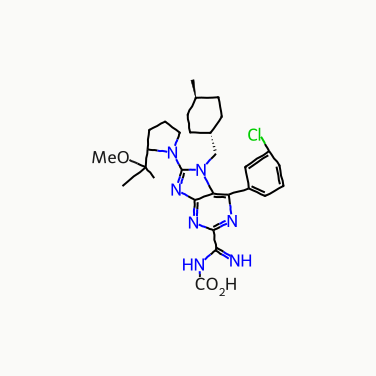 COC(C)(C)C1CCCN1c1nc2nc(C(=N)NC(=O)O)nc(-c3cccc(Cl)c3)c2n1C[C@H]1CC[C@H](C)CC1